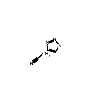 CC#N.c1csnn1